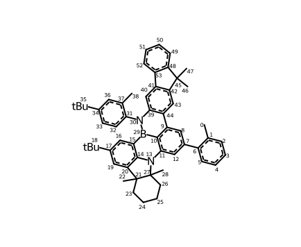 Cc1ccccc1-c1cc2c3c(c1)N1c4c(cc(C(C)(C)C)cc4C4(C)CCCCC14C)B3N(c1ccc(C(C)(C)C)cc1C)c1cc3c(cc1-2)C(C)(C)c1ccccc1-3